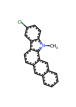 Cn1c2ccc(Cl)cc2c2ccc3cc4ccccc4cc3c21